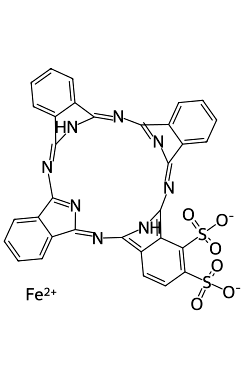 O=S(=O)([O-])c1ccc2c3nc4nc(nc5[nH]c(nc6nc(nc([nH]3)c2c1S(=O)(=O)[O-])-c1ccccc1-6)c1ccccc51)-c1ccccc1-4.[Fe+2]